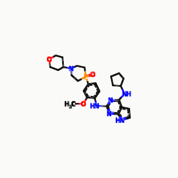 COc1cc(P2(=O)CCN(C3CCOCC3)CC2)ccc1Nc1nc(NC2CCCC2)c2cc[nH]c2n1